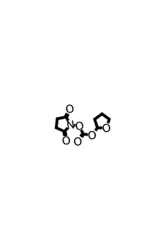 O=C(OC1CCCO1)ON1C(=O)CCC1=O